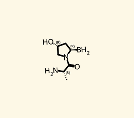 B[C@@H]1C[C@@H](O)CN1C(=O)[C@H](C)N